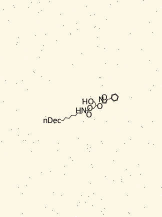 CCCCCCCCCCCCCCCCCNC(=O)OCC(CO)Oc1cc(-c2ccccc2)on1